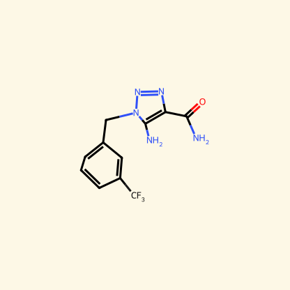 NC(=O)c1nnn(Cc2cccc(C(F)(F)F)c2)c1N